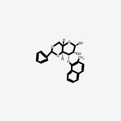 Cc1ccc2ccccc2c1O[C@H]1[C@@H](O)[C@H](S)O[C@H]2COC(c3ccccc3)O[C@H]12